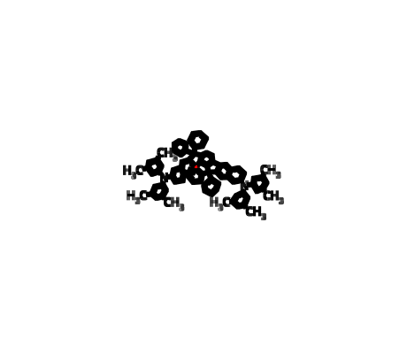 Cc1cc(C)cc(N(c2cc(C)cc(C)c2)c2ccc3cc4c(cc3c2)C(c2ccccc2)(c2ccccc2)c2ccc3c(c2-4)C(c2ccccc2)(c2ccccc2)c2cc4cc(N(c5cc(C)cc(C)c5)c5cc(C)cc(C)c5)ccc4cc2-3)c1